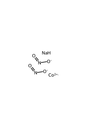 O=N[O-].O=N[O-].[Co+2].[NaH]